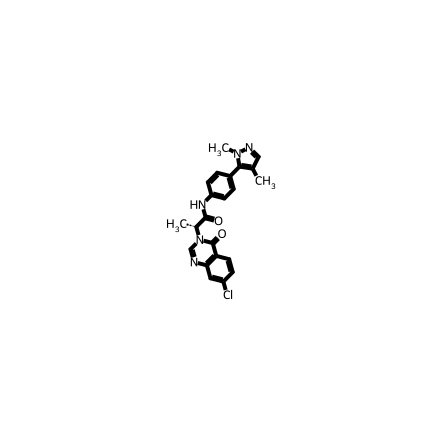 Cc1cnn(C)c1-c1ccc(NC(=O)[C@@H](C)n2cnc3cc(Cl)ccc3c2=O)cc1